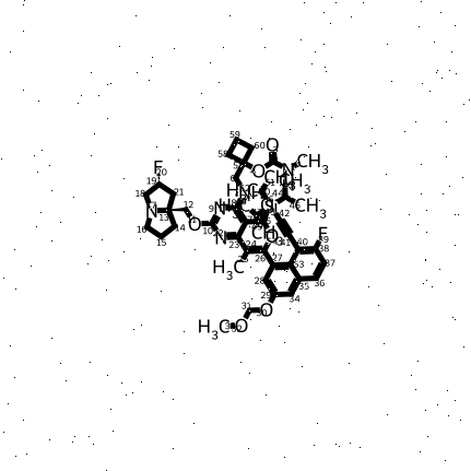 CNC(=O)OC1(CNc2nc(OC[C@@]34CCCN3C[C@H](F)C4)nc3c(C)c(-c4cc(OCOC)cc5ccc(F)c(C#C[Si](C(C)C)(C(C)C)C(C)C)c45)oc(=O)c23)CCC1